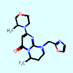 CC1COCCN1c1cc(=O)n2c(n1)N(Cc1ncco1)CCC2C(F)(F)F